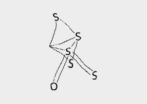 O=S1(=S)C23SS21S3